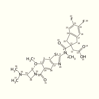 COc1cc2sc(N(C)C(=O)C3(CC(=O)O)Cc4cc(F)c(F)cc4C3)nc2cc1C(=O)N1CC(N(C)C)C1